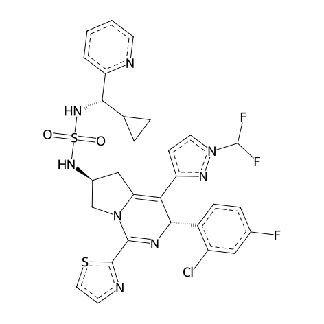 O=S(=O)(N[C@H]1CC2=C(c3ccn(C(F)F)n3)[C@H](c3ccc(F)cc3Cl)N=C(c3nccs3)N2C1)N[C@H](c1ccccn1)C1CC1